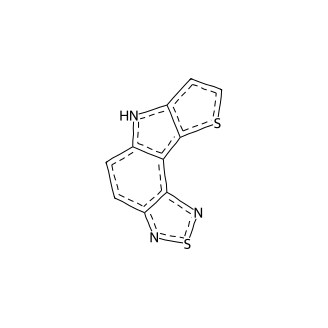 c1cc2[nH]c3ccc4nsnc4c3c2s1